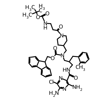 Cc1ccccc1CC(CNC(=O)c1nc(Cl)c(N)nc1N)CN(CC1CCN(C(=O)CCNC(=O)OC(C)(C)C)CC1)C(=O)OCC1c2ccccc2-c2ccccc21